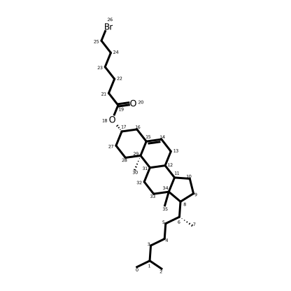 CC(C)CCC[C@@H](C)C1CCC2C3CC=C4C[C@@H](OC(=O)CCCCCBr)CC[C@]4(C)C3CCC21C